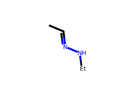 C/C=N/NCC